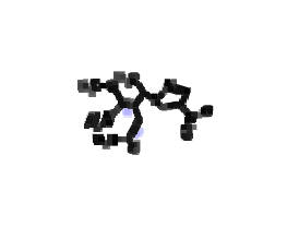 CO/C(N)=C(/C=C(\N)Cl)C(C)n1cc([N+](=O)[O-])cn1